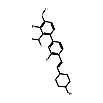 CCCC1CCC(/C=C/c2ccc(-c3ccc(OCC)c(F)c3C(F)F)cc2F)CC1